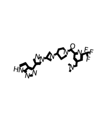 CN(C)Cc1cc(C(=O)N2CCC(N3CC(n4cc(-c5ncnc6[nH]ccc56)cn4)C3)CC2)nc(C(F)(F)F)c1